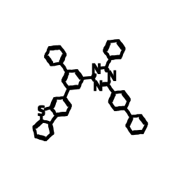 c1ccc(-c2ccc(-c3nc(-c4ccccc4)nc(-c4cc(-c5ccccc5)cc(-c5ccc6c(c5)sc5ccccc56)c4)n3)cc2)cc1